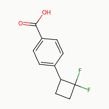 O=C(O)c1ccc(C2CCC2(F)F)cc1